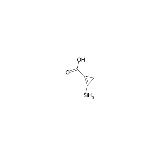 O=C(O)C1=C([SiH3])C1